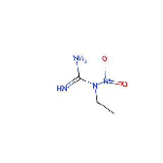 CCN(C(=N)N)[N+](=O)[O-]